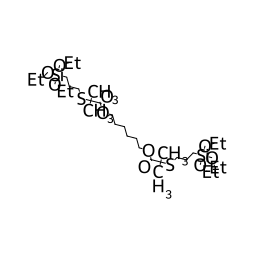 CCO[Si](CCCSC(C)(C)C(=O)OCCCCCCOC(=O)C(C)(C)SCCC[Si](OCC)(OCC)OCC)(OCC)OCC